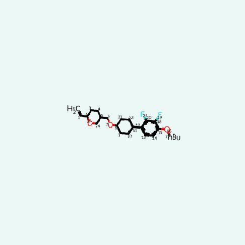 C=CC1CCC(COC2CCC(c3ccc(OCCCC)c(F)c3F)CC2)CO1